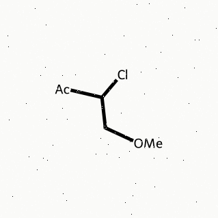 COCC(Cl)C(C)=O